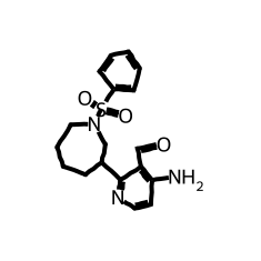 Nc1ccnc(C2CCCCN(S(=O)(=O)c3ccccc3)C2)c1C=O